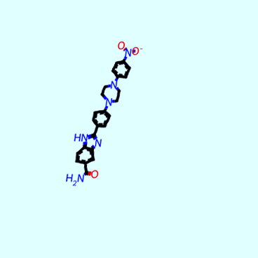 NC(=O)c1ccc2[nH]c(-c3ccc(N4CCN(c5ccc([N+](=O)[O-])cc5)CC4)cc3)nc2c1